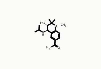 C.CC(C)N[C@@H]1c2cc(C(N)=O)ccc2OC(C)(C)[C@H]1O